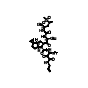 C=CCNC(=O)C(=O)C(CCC)NC(=O)[C@@H]1[C@H]2CCC3(CC3)[C@H]2CN1C(=O)[C@@H](NC(=O)N[C@H](CN(C)S(C)(=O)=O)C(C)(C)C)C(C)(C)C